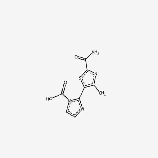 Cc1nc(C(N)=O)sc1-c1nccn1C(=O)O